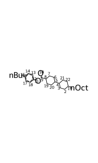 CCCCCCCCC1CCC(C2CCC(C(=O)Oc3ccc(CCCC)cc3)CC2)CC1